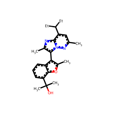 CCC(CC)c1cc(C)nn2c(-c3c(C)oc4c(C(C)(C)O)cccc34)c(C)nc12